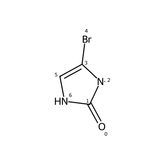 O=C1[N]C(Br)=CN1